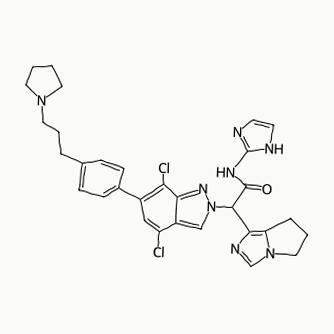 O=C(Nc1ncc[nH]1)C(c1ncn2c1CCC2)n1cc2c(Cl)cc(-c3ccc(CCCN4CCCC4)cc3)c(Cl)c2n1